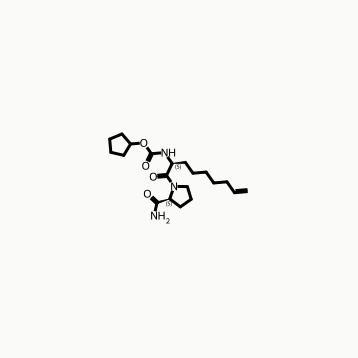 C=CCCCCC[C@H](NC(=O)OC1CCCC1)C(=O)N1CCC[C@H]1C(N)=O